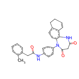 Cc1ccccc1CC(=O)Nc1ccc(N2C(=O)CC(=O)Nc3c2ccc2c3C=CCC2)cc1